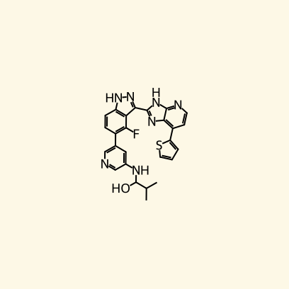 CC(C)C(O)Nc1cncc(-c2ccc3[nH]nc(-c4nc5c(-c6cccs6)ccnc5[nH]4)c3c2F)c1